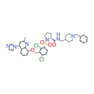 Cc1cc(-n2ccnc2)c2cccc(OCc3c(Cl)ccc(S(=O)(=O)N4CCC[C@H]4C(=O)NCC4CCN(Cc5ccccc5)CC4)c3Cl)c2n1